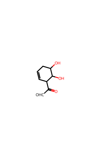 O=CC(=O)C1C=CCC(O)C1O